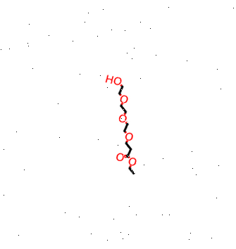 CCOC(=O)CCOCCOCCOCCO